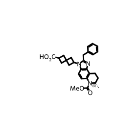 COC(=O)N1c2ccc3c(nc(Cc4ccccc4)n3C3CC4(CC(C(=O)O)C4)C3)c2CC[C@@H]1C